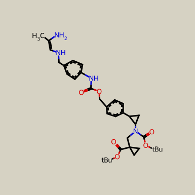 C/C(N)=C/NCc1ccc(NC(=O)OCc2ccc(C3CC3N(CC3(C(=O)OC(C)(C)C)CC3)C(=O)OC(C)(C)C)cc2)cc1